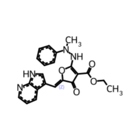 CCOC(=O)C1=C(NN(C)c2ccccc2)O/C(=C\c2c[nH]c3ncccc23)C1=O